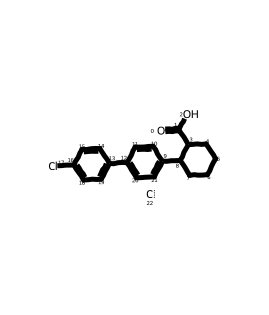 O=C(O)C1CCCCC1c1ccc(-c2ccc(Cl)cc2)cc1.[C]